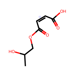 CC(O)COC(=O)/C=C\C(=O)O